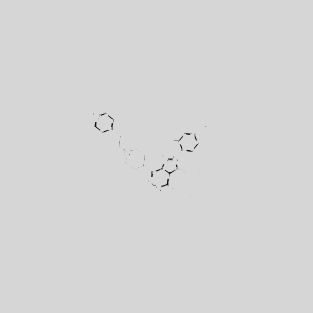 CCOc1ccc(-n2nc3c(C4CCN(CCc5ccncc5)CC4)nnc(C)c3c2C)c(F)c1